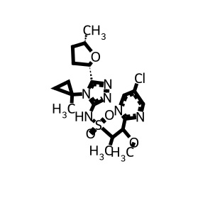 COC(c1ncc(Cl)cn1)C(C)S(=O)(=O)Nc1nnc([C@@H]2CC[C@H](C)O2)n1C1(C)CC1